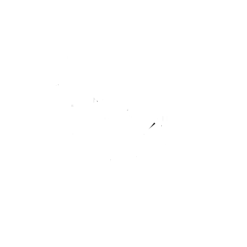 C=CC[C@]1(C)CCC(C)=C(N2CCOCC2)C1=O